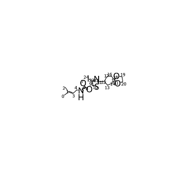 CC(C)=CCNC(=O)Oc1sc(C2CCC3(CC2)OCCO3)nc1I